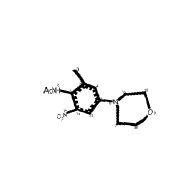 CC(=O)Nc1c(C)cc(N2CCOCC2)cc1[N+](=O)[O-]